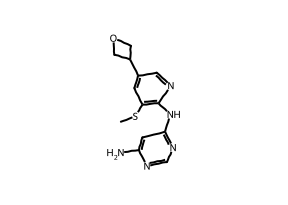 CSc1cc(C2COC2)cnc1Nc1cc(N)ncn1